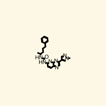 CC(CCCc1ccccc1)NC(=O)Nc1ccc2ncc(-c3cnn(C)c3)nc2n1